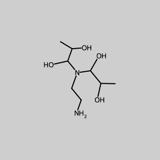 CC(O)C(O)N(CCN)C(O)C(C)O